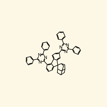 c1ccc(-c2nc(-c3ccccc3)nc(-c3ccc4c(c3)C3(c5cccc(-c6nc(-c7ccccc7)nc(-c7ccccc7)n6)c5-4)C4CC5CC(C4)CC3C5)n2)cc1